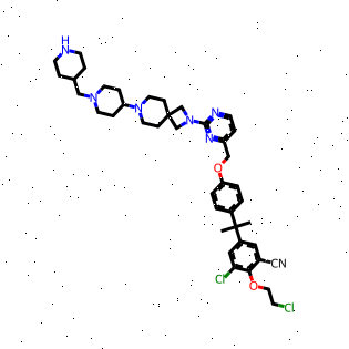 CC(C)(c1ccc(OCc2ccnc(N3CC4(CCN(C5CCN(CC6CCNCC6)CC5)CC4)C3)n2)cc1)c1cc(Cl)c(OCCCl)c(C#N)c1